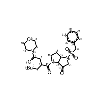 CC(C)(C)CC(CC(=O)N1CCOCC1)C(=O)N1CCC2C1C(=O)CN2S(=O)(=O)Cc1cccnc1